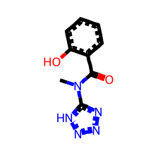 CN(C(=O)c1ccccc1O)c1nnn[nH]1